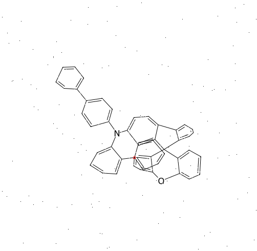 c1ccc(-c2ccc(N(c3ccc4c(c3)C3(c5ccccc5Oc5ccccc53)c3ccccc3-4)c3ccccc3-c3ccccc3)cc2)cc1